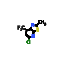 Cc1nc2c(C(F)(F)F)cc(Cl)nc2s1